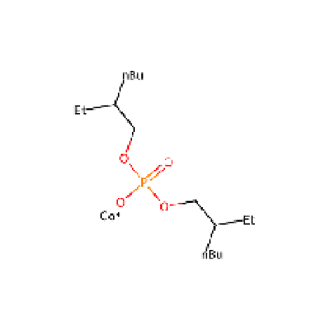 CCCCC(CC)COP(=O)([O-])OCC(CC)CCCC.[Co+]